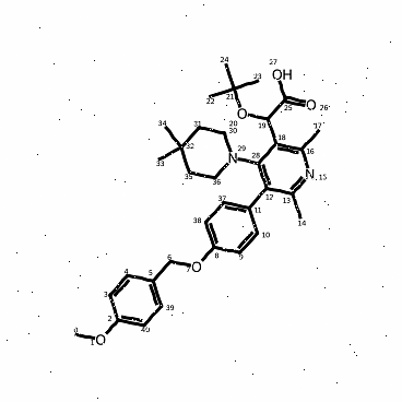 COc1ccc(COc2ccc(-c3c(C)nc(C)c(C(OC(C)(C)C)C(=O)O)c3N3CCC(C)(C)CC3)cc2)cc1